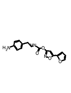 Nc1ccc(CCNC(=O)Oc2cc(-c3ccco3)on2)cc1